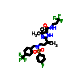 C=C(CCN(Cc1ccc(C(F)(F)F)cc1)S(=O)(=O)c1ccc(F)cc1)C1=NC(C)(C)C(C(=O)NCCC(F)(F)F)N1